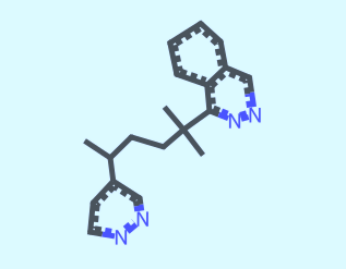 CC(CCC(C)(C)c1nncc2ccccc12)c1ccnnc1